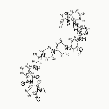 COc1cc(N2CCC(N3CCN(C(=O)CCNc4cccc5c4C(=O)N(C4CCC(=O)NC4=O)C5=O)CC3)CC2)ccc1Nc1ncnc(Nc2ccccc2S(=O)(=O)C(C)C)n1